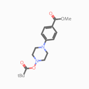 COC(=O)c1ccc(N2CCN(OC(=O)C(C)(C)C)CC2)cc1